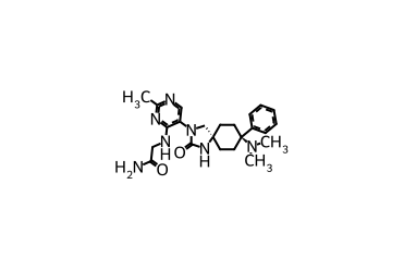 Cc1ncc(N2C[C@]3(CC[C@](c4ccccc4)(N(C)C)CC3)NC2=O)c(NCC(N)=O)n1